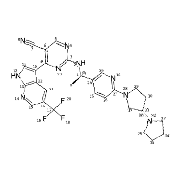 C[C@@H](Nc1ncc(C#N)c(-c2c[nH]c3ncc(C(F)(F)F)cc23)n1)c1ccc(N2CC[C@H](N3CCCC3)C2)nc1